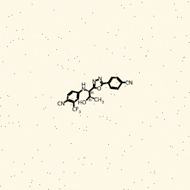 [C-]#[N+]c1ccc(N[C@@H](c2nnc(-c3ccc(C#N)cc3)o2)[C@@H](C)O)cc1C(F)(F)F